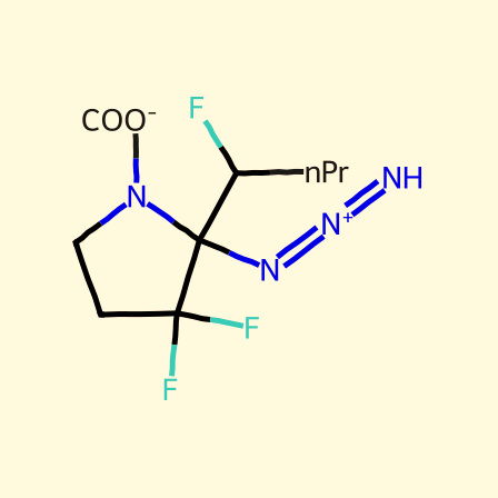 CCCC(F)C1(N=[N+]=N)N(C(=O)[O-])CCC1(F)F